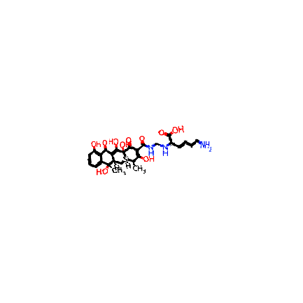 C[C@@H]1C(O)=C(C(=O)NCNC(CCCCN)C(=O)O)C(=O)[C@@]2(O)C(O)=C3C(=O)c4c(O)cccc4[C@@](C)(O)[C@H]3C[Si@@H]12